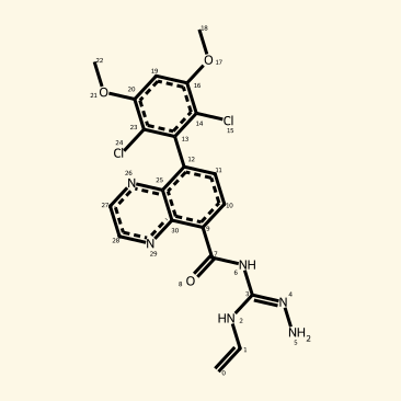 C=CN/C(=N\N)NC(=O)c1ccc(-c2c(Cl)c(OC)cc(OC)c2Cl)c2nccnc12